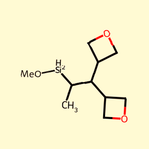 CO[SiH2]C(C)C(C1COC1)C1COC1